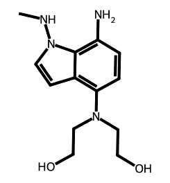 CNn1ccc2c(N(CCO)CCO)ccc(N)c21